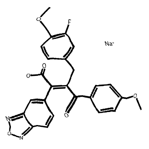 COc1ccc(C(=O)C(Cc2ccc(OC)c(F)c2)=C(C(=O)[O-])c2ccc3nonc3c2)cc1.[Na+]